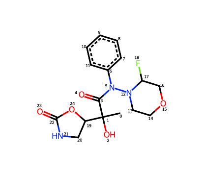 CC(O)(C(=O)N(c1ccccc1)N1CCOCC1F)C1CNC(=O)O1